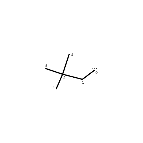 [C]CC(C)(C)C